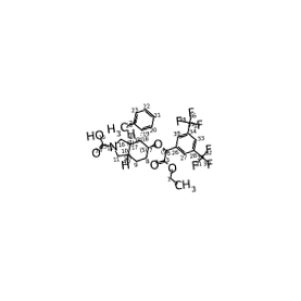 CCOC(=O)[C@@H](O[C@H]1CC[C@@H]2CN(C(=O)O)C[C@H]2[C@@H]1c1ccccc1C)c1cc(C(F)(F)F)cc(C(F)(F)F)c1